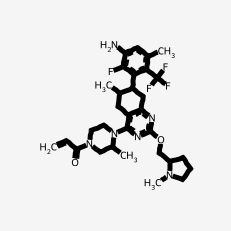 C=CC(=O)N1CCN(c2nc(OCC3CCCN3C)nc3c2CC(C)C(c2c(F)c(N)cc(C)c2C(F)(F)F)C3)C(C)C1